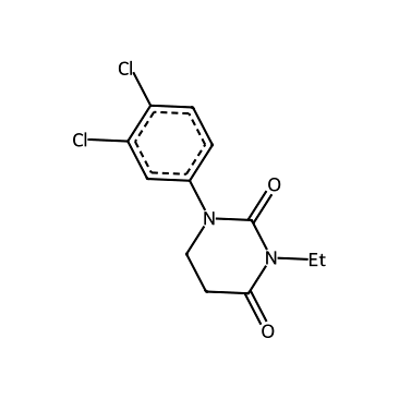 CCN1C(=O)CCN(c2ccc(Cl)c(Cl)c2)C1=O